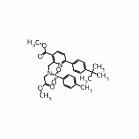 COC(=O)CN(Cc1nc(-c2ccc(C(C)(C)C)cc2)ccc1C(=O)OC)S(=O)(=O)c1ccc(C)cc1